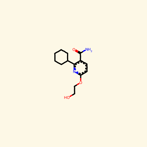 NC(=O)c1ccc(OCCO)nc1C1CCCCC1